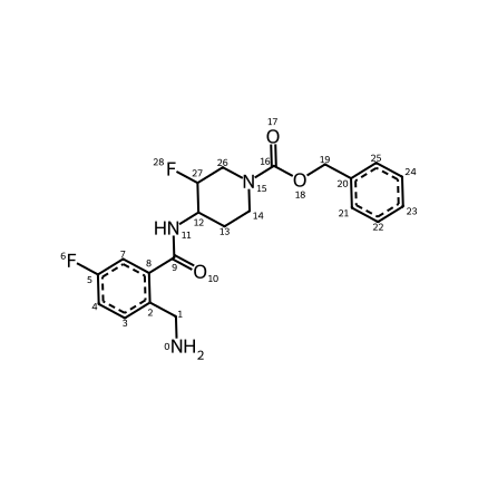 NCc1ccc(F)cc1C(=O)NC1CCN(C(=O)OCc2ccccc2)CC1F